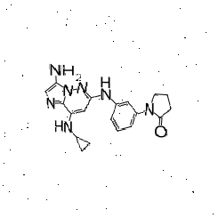 Nc1cnc2c(NC3CC3)cc(Nc3cccc(N4CCCC4=O)c3)nn12